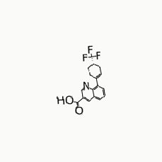 O=C(O)c1cnc2c(C3=CC[C@@H](C(F)(F)F)CC3)cccc2c1